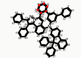 c1ccc(-c2cc(-c3ccccc3)cc(N(c3ccc4c(c3)C(c3ccccc3)(c3ccccc3)c3ccccc3-4)c3cccc4c3cc(-c3ccccc3)n3nc(-c5ccccc5)c(-c5ccccc5)c43)c2)cc1